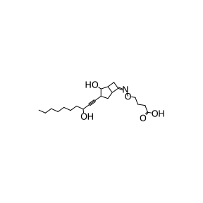 CCCCCCCC(O)C#CC1CC2C(=NOCCCC(=O)O)CC2C1O